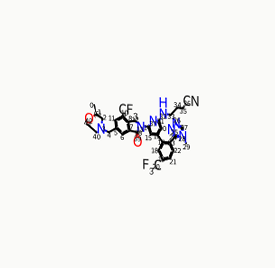 C[C@H]1CN(Cc2cc3c(c(C(F)(F)F)c2)CN(c2cc(-c4cc(C(F)(F)F)ccc4-c4nncn4C)cc(NCCCC#N)n2)C3=O)CCO1